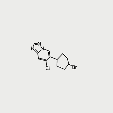 Clc1cc2ncnn2cc1C1CCC(Br)CC1